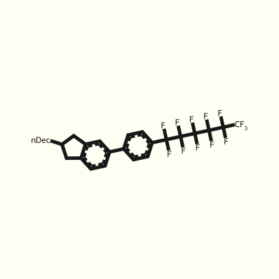 CCCCCCCCCCC1Cc2ccc(-c3ccc(C(F)(F)C(F)(F)C(F)(F)C(F)(F)C(F)(F)C(F)(F)F)cc3)cc2C1